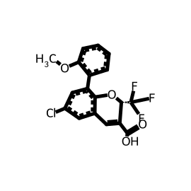 COc1ccccc1-c1cc(Cl)cc2c1O[C@H](C(F)(F)F)C(C(=O)O)=C2